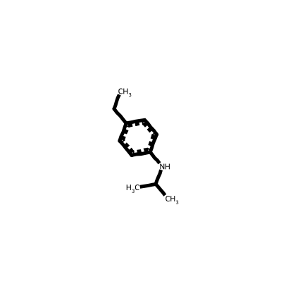 CCc1ccc(NC(C)C)cc1